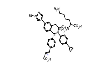 CCn1cc(-c2ccc3c(c2)C[C@@H](C)N(c2ccc(C4CC4)cc2)[C@@H]3c2ccc(/C=C/C(=O)O)cc2)cn1.NCCCCC(N)C(=O)O